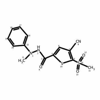 CN(NC(=O)c1cc(C#N)c(S(C)(=O)=O)s1)c1ccccc1